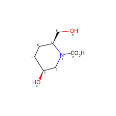 O=C(O)N1C[C@@H](O)CC[C@H]1CO